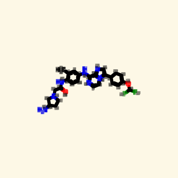 Cc1cc(Nc2nccn3c(C4C=CC(OC(F)F)=CC4)cnc23)ccc1NC(=O)CN1CCC(N)C1